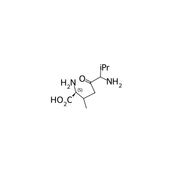 CC(C)C(N)C(=O)CC(C)[C@H](N)C(=O)O